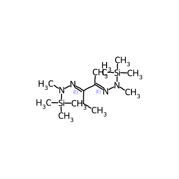 CCC(=N\N(C)[Si](C)(C)C)/C(C)=N/N(C)[Si](C)(C)C